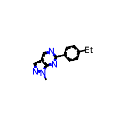 CCc1ccc(-c2ncc3cnn(C)c3n2)cc1